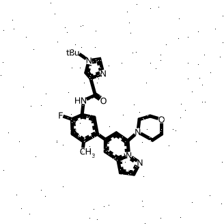 Cc1cc(F)c(NC(=O)c2cn(C(C)(C)C)cn2)cc1-c1cc(N2CCOCC2)n2nccc2c1